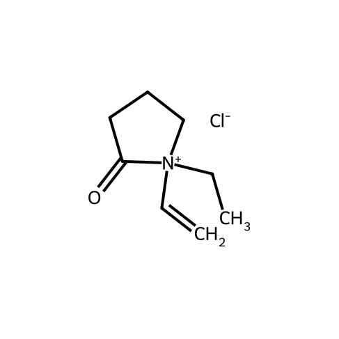 C=C[N+]1(CC)CCCC1=O.[Cl-]